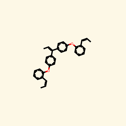 CC=C(c1ccc(Oc2ccccc2/C=C\C)cc1)c1ccc(Oc2ccccc2/C=C\C)cc1